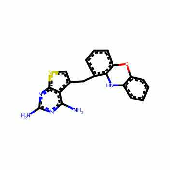 Nc1nc(N)c2c(Cc3cccc4c3Nc3ccccc3O4)csc2n1